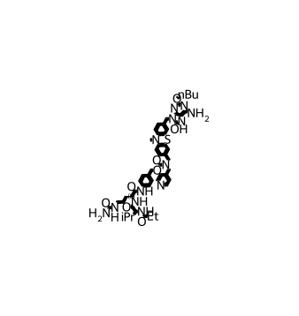 CCCCOc1nc(N)c2nc(O)n(Cc3ccc4c(c3)Sc3cc(CN(Cc5ccncc5)C(=O)OCc5ccc(NC(=O)[C@H](CCCNC(N)=O)NC(=O)C(NC(=O)CC)C(C)C)cc5)ccc3N4C)c2n1